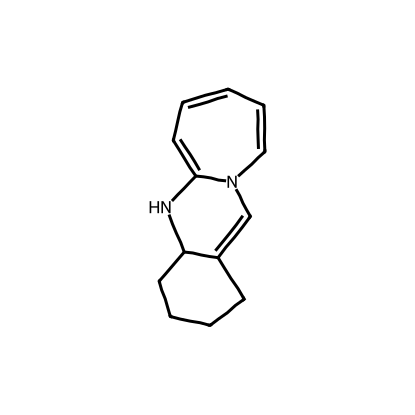 C1=CC=C2NC3CCCCC3=CN2C=C1